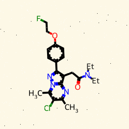 CCN(CC)C(=O)Cc1c(-c2ccc(OCCF)cc2)nn2c(C)c(Cl)c(C)nc12